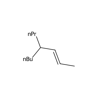 [CH2]CCC(C=CC)CCCC